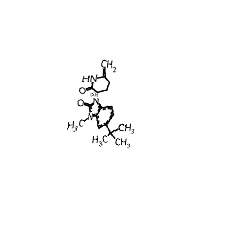 C=C1CC[C@H](n2c(=O)n(C)c3cc(C(C)(C)C)ccc32)C(=O)N1